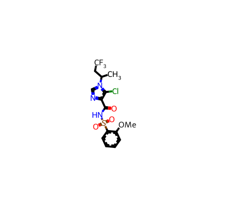 COc1ccccc1S(=O)(=O)NC(=O)c1ncn(C(C)CC(F)(F)F)c1Cl